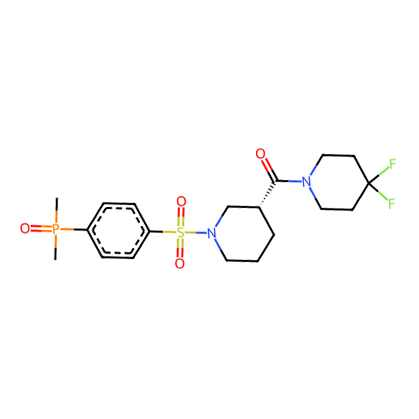 CP(C)(=O)c1ccc(S(=O)(=O)N2CCC[C@@H](C(=O)N3CCC(F)(F)CC3)C2)cc1